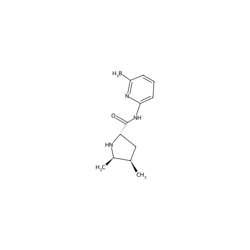 Bc1cccc(NC(=O)[C@@H]2C[C@@H](C)[C@@H](C)N2)n1